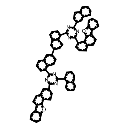 c1ccc2cc(-c3nc(-c4cccc5cc(-c6ccc7c(-c8nc(-c9ccc%10c(ccc%11c%12ccccc%12oc%10%11)c9)nc(-c9cccc%10ccccc9%10)n8)cccc7c6)ccc45)nc(-c4cccc5ccc6c7ccccc7oc6c45)n3)ccc2c1